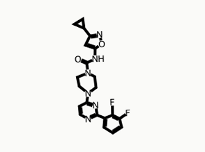 O=C(Nc1cc(C2CC2)no1)N1CCN(c2ccnc(-c3cccc(F)c3F)n2)CC1